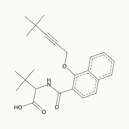 CC(C)(C)C#CCOc1c(C(=O)NC(C(=O)O)C(C)(C)C)ccc2ccccc12